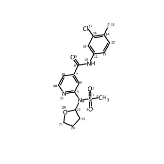 CS(=O)(=O)N(c1cc(C(=O)Nc2ccc(F)c(Cl)c2)ccn1)C1CCCO1